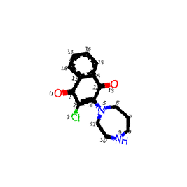 O=C1C(Cl)=C(N2CCCNCC2)C(=O)c2ccccc21